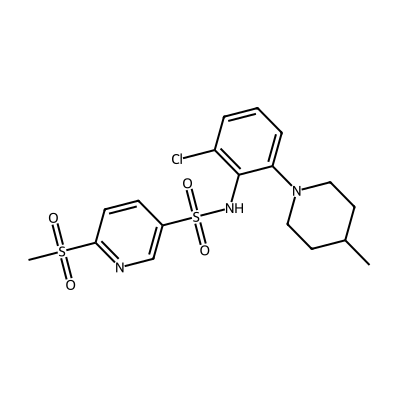 CC1CCN(c2cccc(Cl)c2NS(=O)(=O)c2ccc(S(C)(=O)=O)nc2)CC1